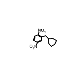 O=[N+]([O-])c1ccc([N+](=O)[O-])c(C[C]2CCCCC2)c1